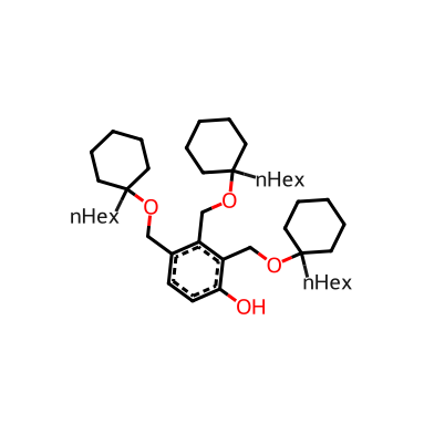 CCCCCCC1(OCc2ccc(O)c(COC3(CCCCCC)CCCCC3)c2COC2(CCCCCC)CCCCC2)CCCCC1